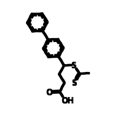 CC(=S)SC(CCC(=O)O)c1ccc(-c2ccccc2)cc1